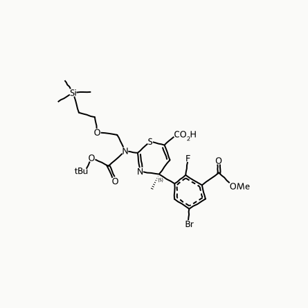 COC(=O)c1cc(Br)cc([C@]2(C)C=C(C(=O)O)SC(N(COCC[Si](C)(C)C)C(=O)OC(C)(C)C)=N2)c1F